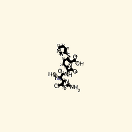 Nc1nc(/C(=N/O)C(=O)N[C@@H]2C(=O)N3C(C(=O)O)=C(Sc4cccnn4)CCC23)c(Cl)s1